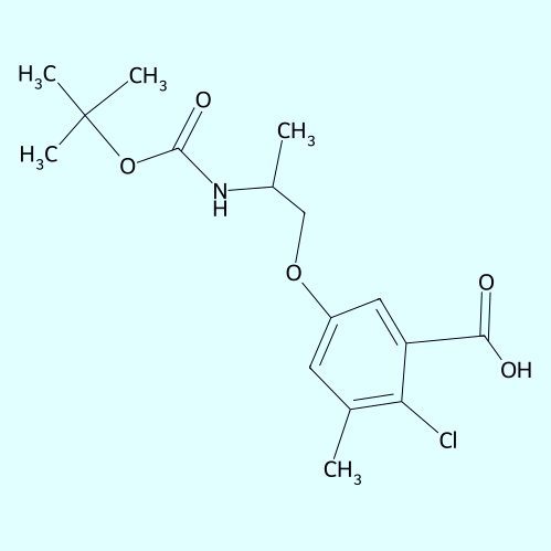 Cc1cc(OCC(C)NC(=O)OC(C)(C)C)cc(C(=O)O)c1Cl